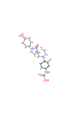 Cc1cc(NC(=O)O)ccc1N1CCC[C@@]2(CCN([C@H]3CC[C@H](O)CC3)C2=O)C1